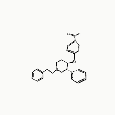 O=[N+]([O-])c1ccc(O[C@@H]2CCN(CCc3ccccc3)C[C@H]2c2ccccc2)cc1